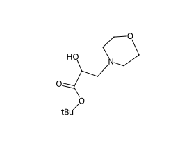 CC(C)(C)OC(=O)C(O)CN1CCOCC1